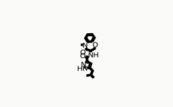 CC(C)Cc1cc(C(=O)NC2COc3ccccc3N(C)C2=O)n[nH]1